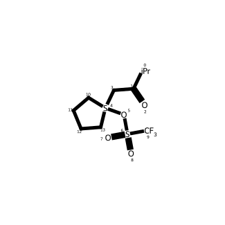 CC(C)C(=O)CS1(OS(=O)(=O)C(F)(F)F)CCCC1